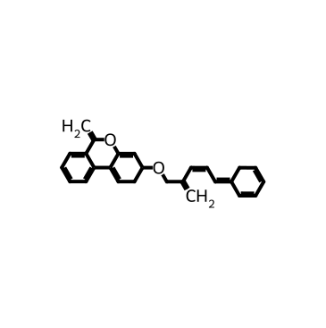 C=C(/C=C\C=C1\C=CC=CC1)COC1C=C2OC(=C)c3ccccc3C2=CC1